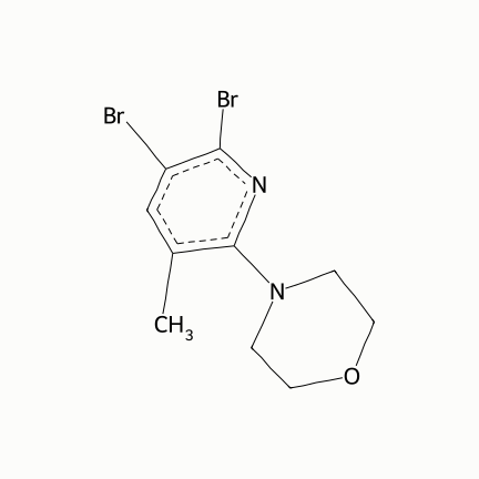 Cc1cc(Br)c(Br)nc1N1CCOCC1